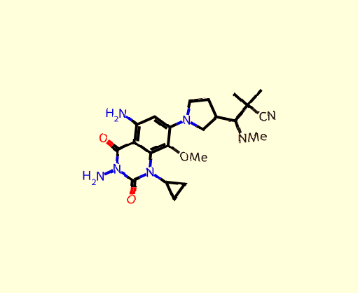 CNC(C1CCN(c2cc(N)c3c(=O)n(N)c(=O)n(C4CC4)c3c2OC)C1)C(C)(C)C#N